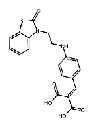 O=C(O)C(=Cc1ccc(NCCn2c(=O)sc3ccccc32)cc1)C(=O)O